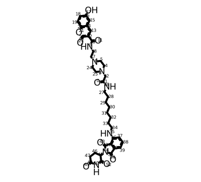 O=C(CN1CCN(CCNC(=O)c2cc3cc(O)ccc3oc2=O)CC1)NCCCCCCCCNc1cccc2c1C(=O)N(C1CCC(=O)NC1=O)C2=O